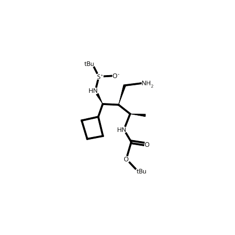 C[C@@H](NC(=O)OC(C)(C)C)[C@H](CN)[C@H](N[S+]([O-])C(C)(C)C)C1CCC1